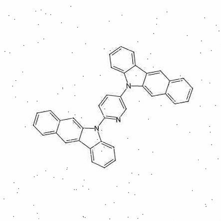 c1ccc2cc3c(cc2c1)c1ccccc1n3-c1ccc(-n2c3ccccc3c3cc4ccccc4cc32)nc1